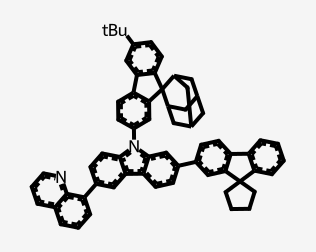 CC(C)(C)c1ccc2c(c1)-c1ccc(-n3c4ccc(-c5cccc6cccnc56)cc4c4ccc(-c5ccc6c(c5)C5(CCCC5)c5ccccc5-6)cc43)cc1C21C2CC3CC(C2)CC1C3